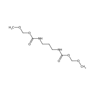 COCOC(=O)NCCCNC(=O)OCOC